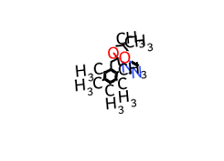 Cc1c(C)c(C)c(CC2(Cn3ccnc3)OCC(C)(C)CO2)c(C)c1C